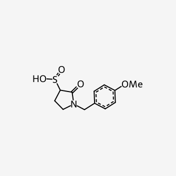 COc1ccc(CN2CCC(S(=O)O)C2=O)cc1